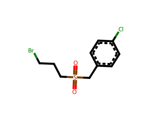 O=S(=O)(CCCBr)Cc1ccc(Cl)cc1